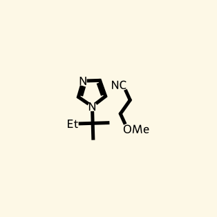 CCC(C)(C)n1ccnc1.COCCC#N